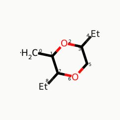 [CH2]C1OC(CC)COC1CC